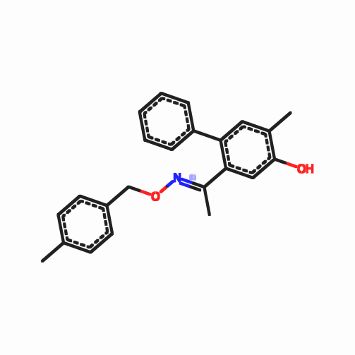 C/C(=N\OCc1ccc(C)cc1)c1cc(O)c(C)cc1-c1ccccc1